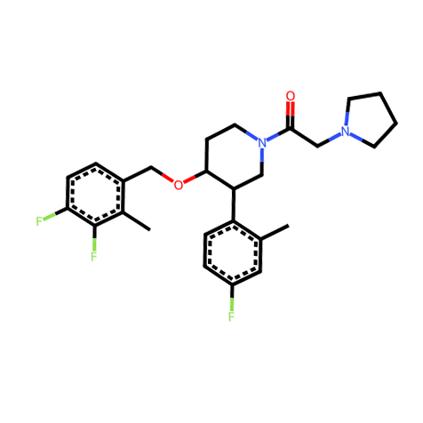 Cc1cc(F)ccc1C1CN(C(=O)CN2CCCC2)CCC1OCc1ccc(F)c(F)c1C